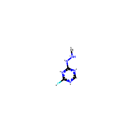 CCN[N]c1ncnc(F)n1